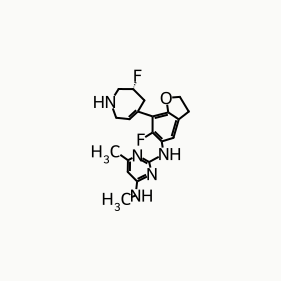 CNc1cc(C)nc(Nc2cc3c(c(C4=CCNC[C@H](F)C4)c2F)OCC3)n1